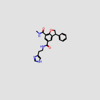 CNC(=O)c1cc(C(=O)NCCc2c[nH]cn2)cc2c1OCC2c1ccccc1